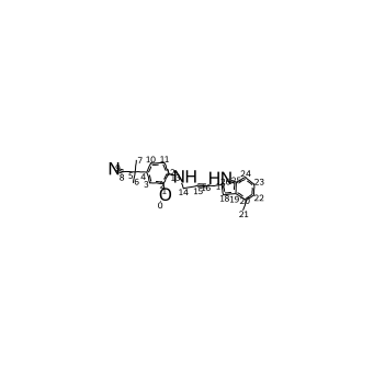 COc1cc(C(C)(C)C#N)ccc1NCC#Cc1cc2c(C)cccc2[nH]1